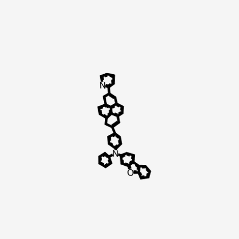 C1=C(c2ccc(N(c3ccccc3)c3ccc4c(c3)oc3ccccc34)cc2)Cc2ccc3c4c(ccc1c24)C=C(c1ccccn1)C3